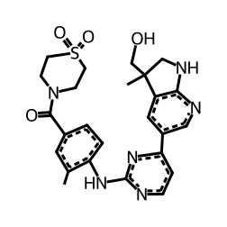 Cc1cc(C(=O)N2CCS(=O)(=O)CC2)ccc1Nc1nccc(-c2cnc3c(c2)C(C)(CO)CN3)n1